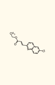 CCOC(=O)/C=C/c1ccc2cc(Cl)ccc2n1